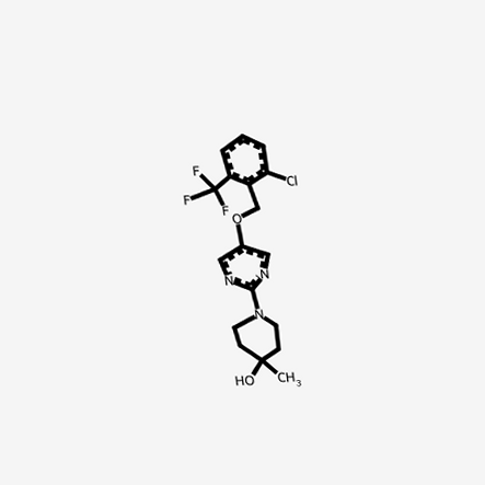 CC1(O)CCN(c2ncc(OCc3c(Cl)cccc3C(F)(F)F)cn2)CC1